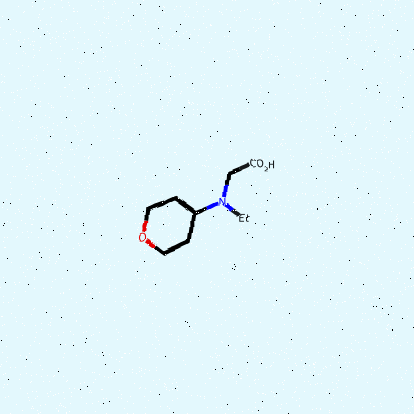 CCN(CC(=O)O)C1CCOCC1